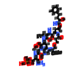 COCCOCCC(=O)N1C[C@H](ONC(=O)CCc2ccccc2)C[C@H]1C(=O)N[C@@H](CC(C)C)C(=O)N[C@@H](Cc1cnc[nH]1)C(=O)N[C@@H](CO)C(=O)N[C@H](C(N)=O)C(C)OP(=O)(O)O